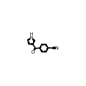 N#Cc1ccc(C(=O)c2cc[nH]c2)cc1